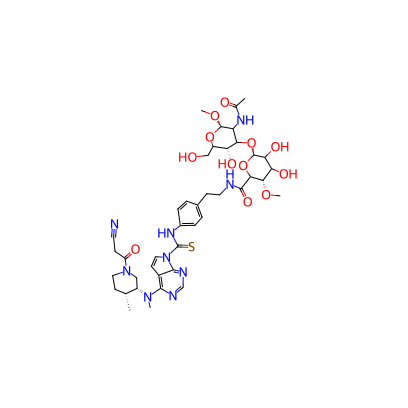 CO[C@@H]1OC(CO)[C@@H](O)C(O[C@@H]2OC(C(=O)NCCc3ccc(NC(=S)n4ccc5c(N(C)[C@H]6CN(C(=O)CC#N)CC[C@H]6C)ncnc54)cc3)[C@@H](OC)C(O)C2O)C1NC(C)=O